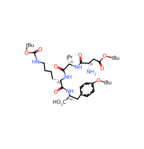 CC(C)[C@H](NC(=O)[C@@H](N)CC(=O)OC(C)(C)C)C(=O)N[C@@H](CCCCNC(=O)OC(C)(C)C)C(=O)N[C@@H](Cc1ccc(OC(C)(C)C)cc1)C(=O)O